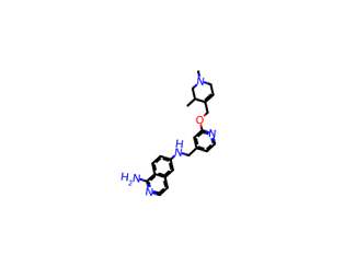 CC1CN(C)CC=C1COc1cc(CNc2ccc3c(N)nccc3c2)ccn1